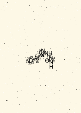 O=C1NCCN1CCNc1nccc(-c2ccc(-c3ccncc3)s2)n1